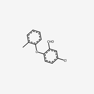 Cc1ccccc1Oc1ccc(Cl)cc1C=O